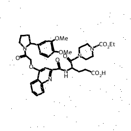 CCOC(=O)N1CCN(C(=O)C(CCC(=O)O)NC(=O)c2cc(OCC(=O)N3CCCC3c3ccc(OC)c(OC)c3)c3ccccc3n2)CC1